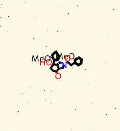 COc1ccccc1CC(=O)N1CC2C(=O)CCC(O)(c3ccccc3OC)C2C1